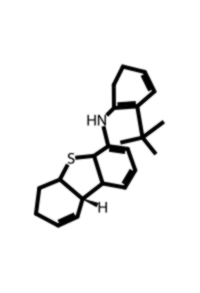 CC(C)(C)C1=C(NC2=CC=CC3C2SC2CCC=C[C@H]23)CCC=C1